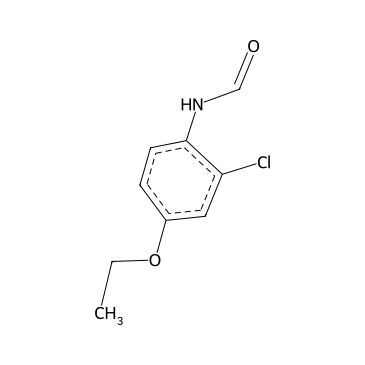 CCOc1ccc(NC=O)c(Cl)c1